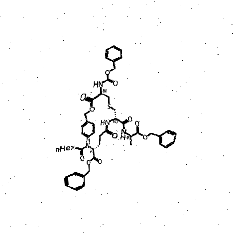 CCCCCCC(=O)N[C@H](CCC(=O)N[C@H](CSC[C@H](NC(=O)OCc1ccccc1)C(=O)OCc1ccccc1)C(=O)N[C@H](C)C(=O)OCc1ccccc1)C(=O)OCc1ccccc1